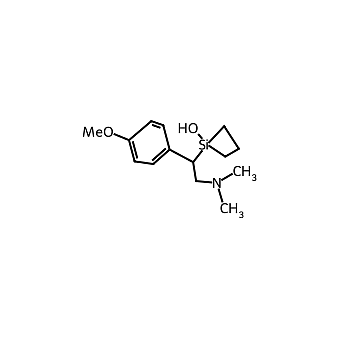 COc1ccc(C(CN(C)C)[Si]2(O)CCC2)cc1